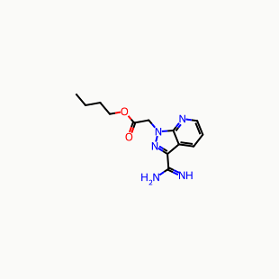 CCCCOC(=O)Cn1nc(C(=N)N)c2cccnc21